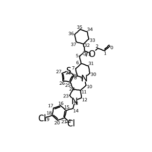 C=CCO[C@@H](CC1CCN(CC2CN(Cc3ccc(Cl)cc3Cl)CC2c2ccsc2)CC1)C1CCCCC1